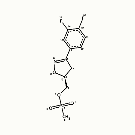 CS(=O)(=O)OC[C@@H]1CC(c2ccc(F)c(F)c2)=NO1